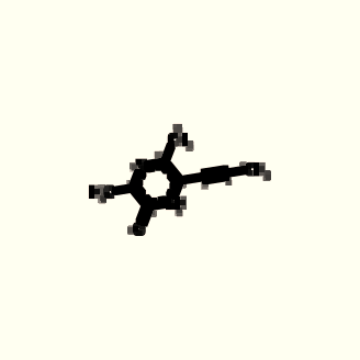 CC#Cc1[nH]c(=O)c(C)nc1C